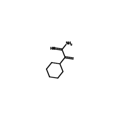 C=C(C(=N)N)C1CCCCC1